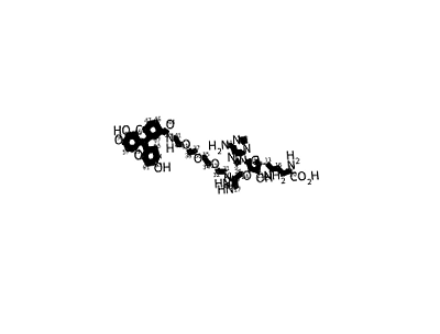 Nc1ncnc2c1ncn2[C@@H]1O[C@H](C[C@@H](N)CC[C@H](N)C(=O)O)[C@@H](O)[C@H]1OCC1=CNNN1CCOCCOCCOCCNC(=O)c1ccc(C(=O)O)c(-c2c3ccc(=O)cc-3oc3cc(O)ccc23)c1